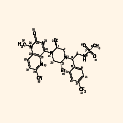 CC[C@H]1CN(C(CNS(C)(=O)=O)c2ccc(C(F)(F)F)cc2)[C@H](CC)CN1c1nc(=O)n(C)c2ccc(C#N)nc12